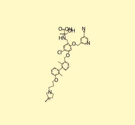 Cc1c(COc2cc(OCc3cncc(C#N)c3)c(CN[C@@](C)(CO)C(=O)O)cc2Cl)cccc1-c1cccc(OCCCN2CC[C@@H](C)C2)c1C